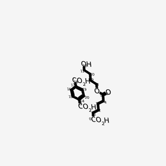 O=C(O)CCCCC(=O)OCCCCO.O=C(O)c1ccc(C(=O)O)cc1